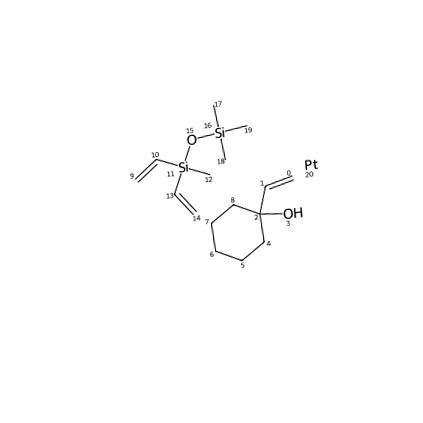 C=CC1(O)CCCCC1.C=C[Si](C)(C=C)O[Si](C)(C)C.[Pt]